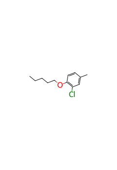 CCCCCOc1ccc(C)cc1Cl